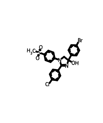 CS(=O)(=O)c1ccc(N2CC(O)(c3ccc(Br)cc3)N=C2c2ccc(Cl)cc2)cc1